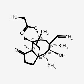 C=C[C@]1(C)C[C@@H](OC(=O)CO)[C@]2(I)C(C)CC[C@]3(CCC(=O)[C@H]32)[C@@H](C)[C@@H]1O